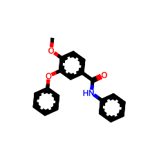 COc1ccc(C(=O)Nc2ccccc2)cc1Oc1ccccc1